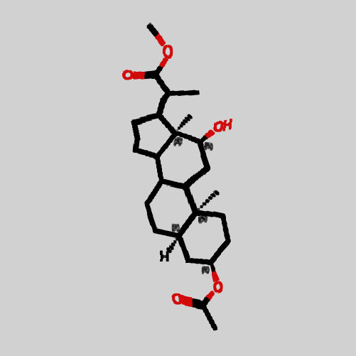 COC(=O)C(C)C1CCC2C3CC[C@@H]4C[C@H](OC(C)=O)CC[C@]4(C)C3C[C@H](O)[C@]12C